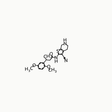 COc1ccc(OC)c(C(C)CC(=O)Nc2sc3c(c2C#N)CCNC3)c1